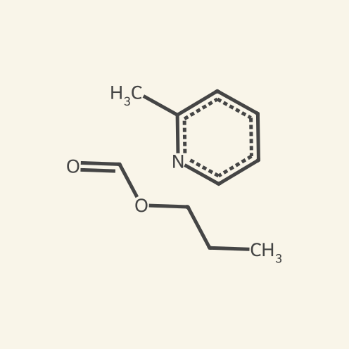 CCCOC=O.Cc1ccccn1